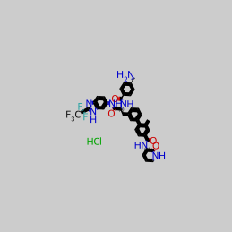 Cc1cc(C(=O)N[C@@H]2CCCNC2=O)ccc1-c1cccc(C[C@H](NC(=O)[C@H]2CC[C@H](CN)CC2)C(=O)Nc2ccc3nc(C(F)(F)C(F)(F)F)[nH]c3c2)c1.Cl